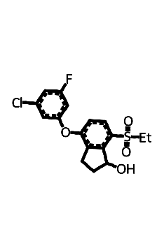 CCS(=O)(=O)c1ccc(Oc2cc(F)cc(Cl)c2)c2c1C(O)CC2